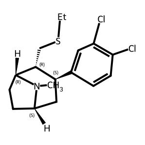 CCSC[C@@H]1[C@@H](c2ccc(Cl)c(Cl)c2)C[C@@H]2CC[C@H]1N2C